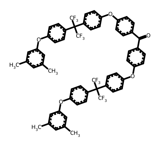 Cc1cc(C)cc(Oc2ccc(C(c3ccc(Oc4ccc(C(=O)c5ccc(Oc6ccc(C(c7ccc(Oc8cc(C)cc(C)c8)cc7)(C(F)(F)F)C(F)(F)F)cc6)cc5)cc4)cc3)(C(F)(F)F)C(F)(F)F)cc2)c1